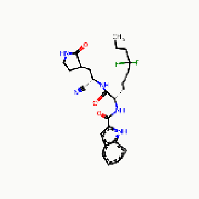 CCCC(F)(F)CCC[C@H](NC(=O)c1cc2ccccc2[nH]1)C(=O)N[C@H](C#N)CC1CCNC1=O